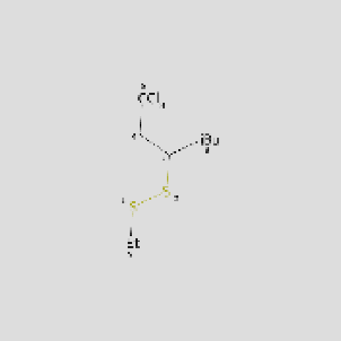 CCSSC(CC(Cl)(Cl)Cl)C(C)CC